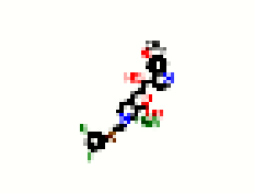 COc1ccc2nccc([C@@H](O)CC[C@@H]3CCN(CCSc4cc(F)cc(F)c4)C[C@@H]3C(=O)O)c2c1.Cl.Cl